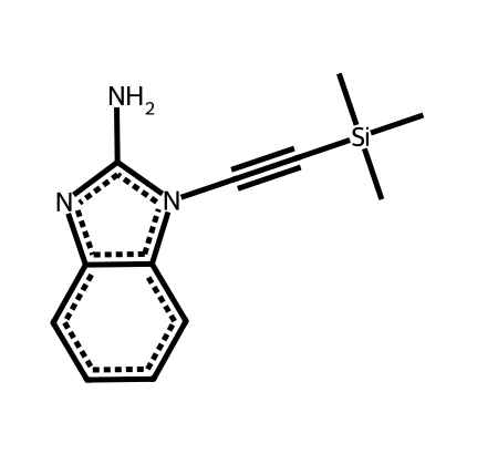 C[Si](C)(C)C#Cn1c(N)nc2ccccc21